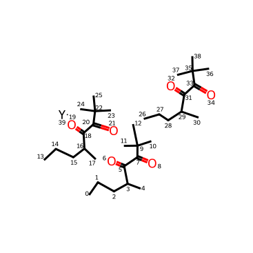 CCCC(C)C(=O)C(=O)C(C)(C)C.CCCC(C)C(=O)C(=O)C(C)(C)C.CCCC(C)C(=O)C(=O)C(C)(C)C.[Y]